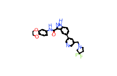 O=C(Nc1ccc2c(c1)OCCO2)c1n[nH]c2ccc(-c3cncc(CN4CCC(F)(F)C4)c3)cc12